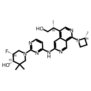 C[C@@H]1CCN1c1ncc([C@@H](C)CO)c2cc(Nc3ccnc(N4C[C@@H](F)[C@@H](O)C(C)(C)C4)n3)ncc12